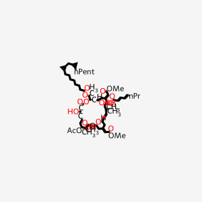 CCC/C=C/C=C/C(=O)O[C@H]1/C(=C/C(=O)OC)C[C@H]2C[C@H]([C@@H](C)OC(=O)CCCCCCCC3CC3CC3CC3CCCCC)OC(=O)C[C@H](O)CC3C[C@H](OC(C)=O)C(C)(C)[C@](O)(C[C@@H]4C/C(=C/C(=O)OC)C[C@H](/C=C/C(C)(C)[C@]1(O)O2)O4)O3